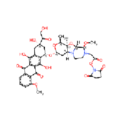 COc1cccc2c1C(=O)c1c(O)c3c(c(O)c1C2=O)C[C@@](O)(C(=O)CO)C[C@@H]3O[C@H]1C[C@H]2[C@H](O[C@@H]3[C@@H](OC)N(CC(=O)ON4C(=O)CCC4=O)CCN32)[C@H](C)O1